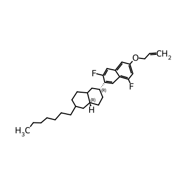 C=CCOc1cc(F)c2cc([C@@H]3CC[C@@H]4CC(CCCCCCC)CCC4C3)c(F)cc2c1